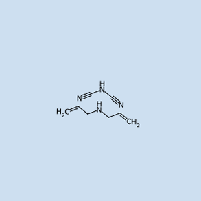 C=CCNCC=C.N#CNC#N